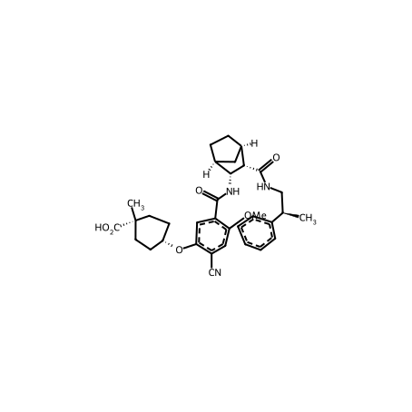 COc1cc(C#N)c(O[C@H]2CC[C@@](C)(C(=O)O)CC2)cc1C(=O)N[C@@H]1[C@H]2CC[C@H](C2)[C@@H]1C(=O)NC[C@@H](C)c1ccccc1